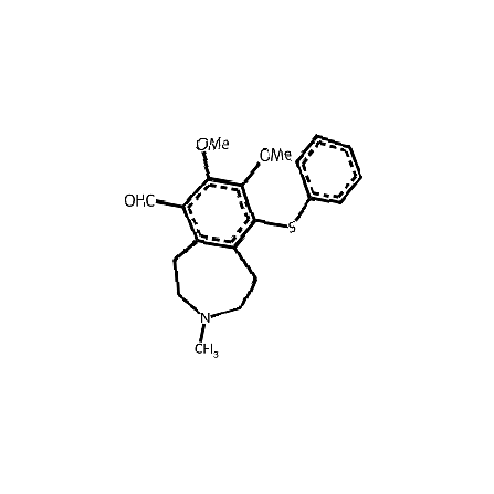 COc1c(C=O)c2c(c(Sc3ccccc3)c1OC)CCN(C)CC2